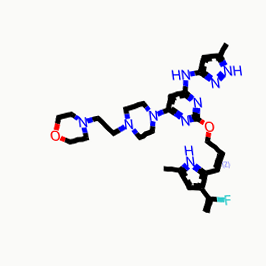 C=C(F)c1cc(C)[nH]c1/C=C\COc1nc(Nc2cc(C)[nH]n2)cc(N2CCN(CCN3CCOCC3)CC2)n1